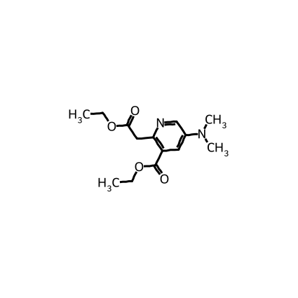 CCOC(=O)Cc1ncc(N(C)C)cc1C(=O)OCC